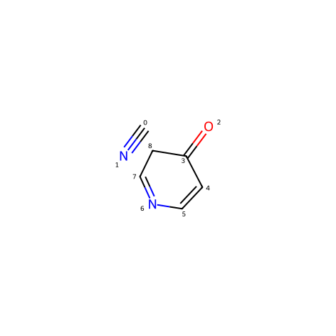 C#N.O=C1C=CN=CC1